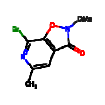 COn1oc2c(Br)nc(C)cc2c1=O